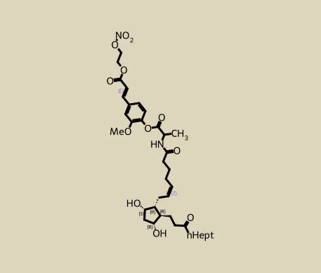 CCCCCCCC(=O)CC[C@@H]1[C@@H](C/C=C\CCCC(=O)NC(C)C(=O)Oc2ccc(/C=C/C(=O)OCCO[N+](=O)[O-])cc2OC)[C@@H](O)C[C@H]1O